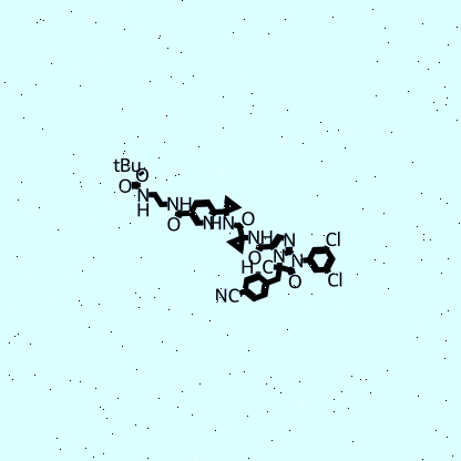 CC(C)(C)OC(=O)NCCNC(=O)c1ccc(C2(NC(=O)C3(NC(=O)c4cnc5n4C(C)(Cc4ccc(C#N)cc4)C(=O)N5c4cc(Cl)cc(Cl)c4)CC3)CC2)nc1